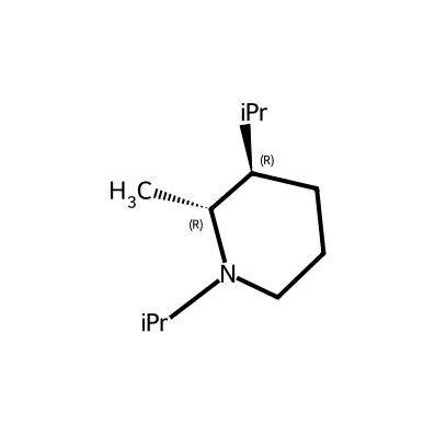 CC(C)[C@H]1CCCN(C(C)C)[C@@H]1C